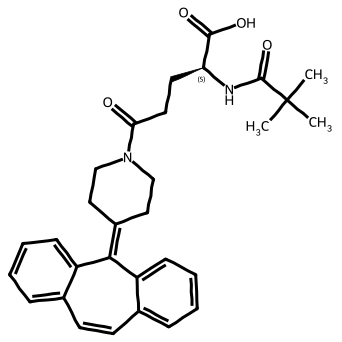 CC(C)(C)C(=O)N[C@@H](CCC(=O)N1CCC(=C2c3ccccc3C=Cc3ccccc32)CC1)C(=O)O